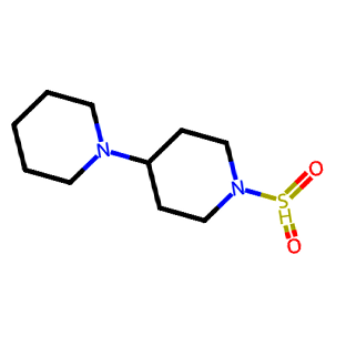 O=[SH](=O)N1CCC(N2CCCCC2)CC1